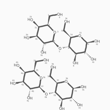 OC[C@H]1O[C@@H](O[C@H]2[C@H](O)[C@@H](O)[C@H](O)O[C@@H]2CO)[C@H](O)[C@@H](O)[C@H]1O.OC[C@H]1O[C@@H](O[C@H]2[C@H](O)[C@@H](O)[C@H](O)O[C@@H]2CO)[C@H](O)[C@@H](O)[C@H]1O